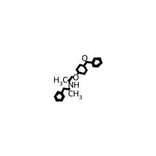 CC(COC1CCC(C(=O)c2ccccc2)CC1)NC(C)Cc1ccccc1